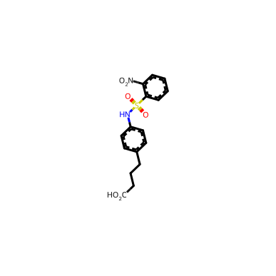 O=C(O)CCCc1ccc(NS(=O)(=O)c2ccccc2[N+](=O)[O-])cc1